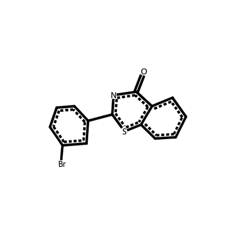 O=c1nc(-c2cccc(Br)c2)sc2ccccc12